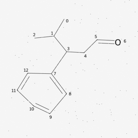 CC(C)C(CC=O)c1ccccc1